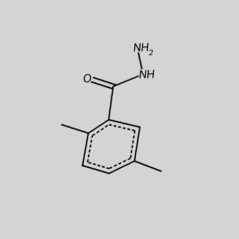 Cc1ccc(C)c(C(=O)NN)c1